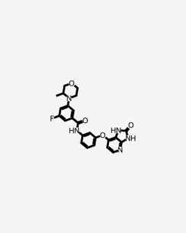 CC1COCCN1c1cc(F)cc(C(=O)Nc2cccc(Oc3ccnc4[nH]c(=O)[nH]c34)c2)c1